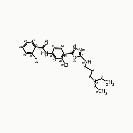 CCN(CC)CCCNc1nnc(-c2ccc(NC(=O)c3ccccc3F)cc2Cl)o1